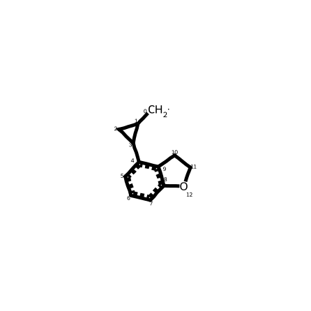 [CH2]C1CC1c1cccc2c1CCO2